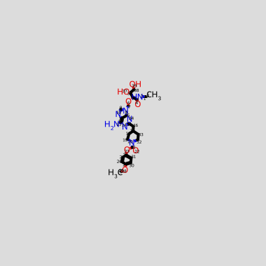 CCNC(=O)[C@@H](OCn1cnc2c(N)nc(CC3CCN(C(=O)Oc4ccc(OC)cc4)CC3)nc21)C(O)CO